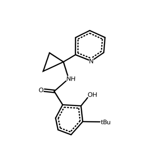 CC(C)(C)c1cccc(C(=O)NC2(c3ccccn3)CC2)c1O